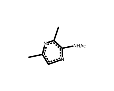 CC(=O)Nc1ncc(C)nc1C